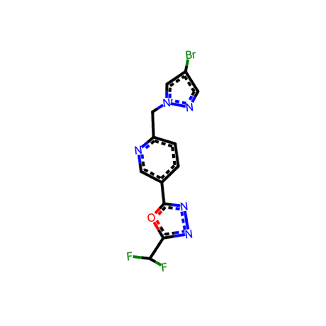 FC(F)c1nnc(-c2ccc(Cn3cc(Br)cn3)nc2)o1